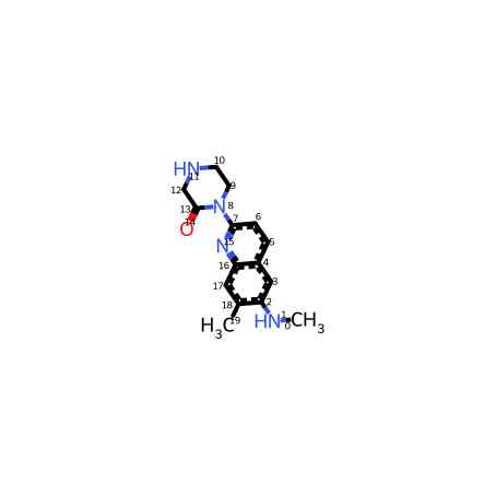 CNc1cc2ccc(N3CCNCC3=O)nc2cc1C